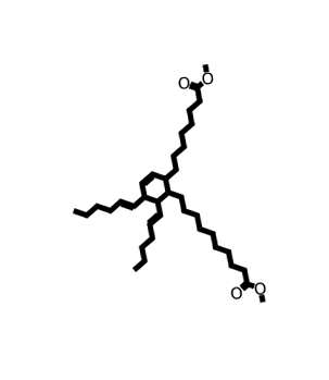 CCCC/C=C/C1C=CC(CCCCCCCC(=O)OC)C(CCCCCCCCCC(=O)OC)C1/C=C/CCCC